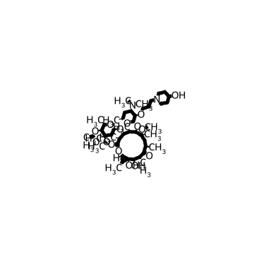 CO[C@]1(C)C[C@H](O[C@H]2[C@H](C)[C@@H](O[C@@H]3O[C@H](C)C[C@H](N(C)C)[C@H]3OCCCN3CCC(O)CC3)[C@@](C)(OC)C[C@@H](C)C(=O)[C@H](C)[C@@H](O)[C@@]3(O)C(C)[C@H]3OC(=O)[C@@H]2C)O[C@@H](C)[C@@H]1OC(C)=O